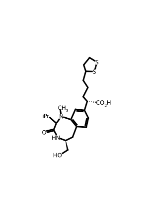 CC(C)C1C(=O)N[C@H](CO)Cc2ccc([C@H](CCCC3CCSS3)C(=O)O)cc2N1C